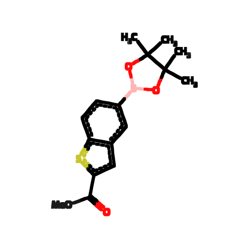 COC(=O)c1cc2cc(B3OC(C)(C)C(C)(C)O3)ccc2s1